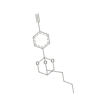 C#Cc1ccc(C23OCC(CO2)C(CCCC)O3)cc1